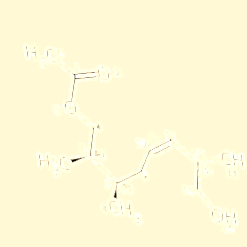 CC(=O)OC[C@H](C)[C@H](C)C/C=C\[C@H](C)CO